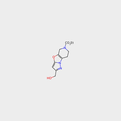 CCOC(=O)N1CCc2c(oc3cc(CO)nn23)C1